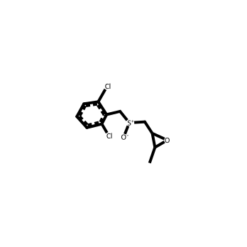 CC1OC1C[S+]([O-])Cc1c(Cl)cccc1Cl